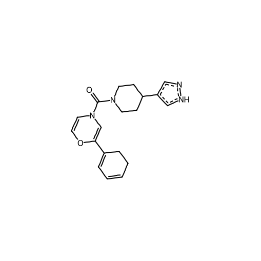 O=C(N1C=COC(C2=CC=CCC2)=C1)N1CCC(c2cn[nH]c2)CC1